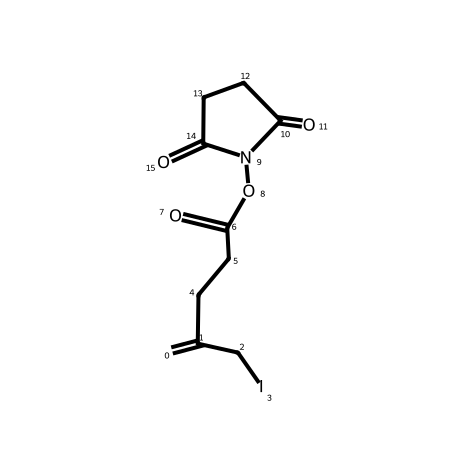 C=C(CI)CCC(=O)ON1C(=O)CCC1=O